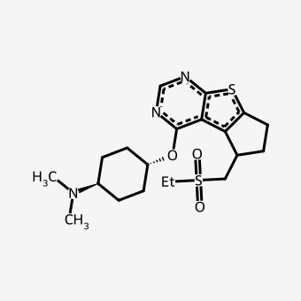 CCS(=O)(=O)CC1CCc2sc3ncnc(O[C@H]4CC[C@H](N(C)C)CC4)c3c21